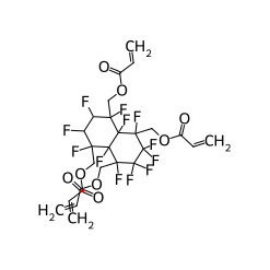 C=CC(=O)OCC1(F)C(F)C(F)C(F)(COC(=O)C=C)C2(F)C(F)(COC(=O)C=C)C(F)(F)C(F)(F)C(F)(COC(=O)C=C)C12F